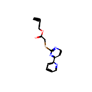 C=CCOC(=O)CSc1nccc(-c2ccccn2)n1